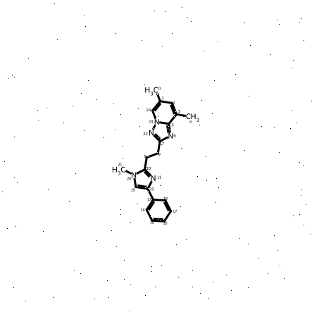 Cc1cc(C)c2nc(CCc3nc(-c4ccccc4)cn3C)nn2c1